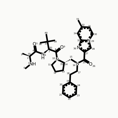 CN[C@@H](C)C(=O)N[C@H](C(=O)N1CCC[C@H]1CN(CCc1ccccc1)C(=O)c1cn2ccc(C)cc2n1)C(C)(C)C